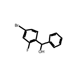 OC(c1ccccc1)c1ccc(Br)cc1F